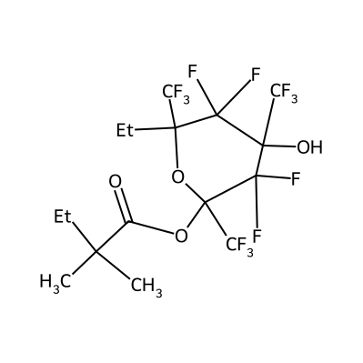 CCC(C)(C)C(=O)OC1(C(F)(F)F)OC(CC)(C(F)(F)F)C(F)(F)C(O)(C(F)(F)F)C1(F)F